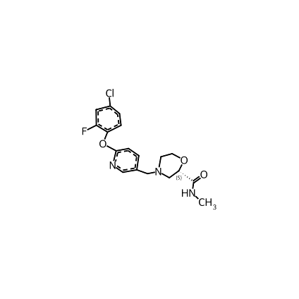 CNC(=O)[C@@H]1CN(Cc2ccc(Oc3ccc(Cl)cc3F)nc2)CCO1